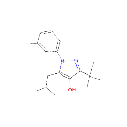 Cc1cccc(-n2nc(C(C)(C)C)c(O)c2CC(C)C)c1